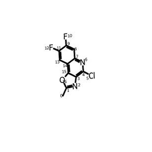 Cc1nc2c(Cl)nc3cc(F)c(F)cc3c2o1